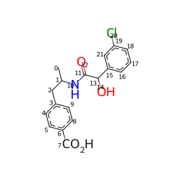 CC(Cc1ccc(C(=O)O)cc1)NC(=O)C(O)c1cccc(Cl)c1